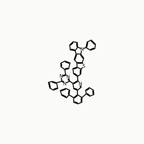 c1ccc(-c2nc(-c3ccccc3)nc(-c3cc(-c4c(-c5ccccc5)cccc4-c4ccccc4)cnc3-c3ccc4c(c3)sc3cc5c(cc34)c3ccccc3n5-c3ccccc3)n2)cc1